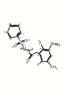 CCOc1cc(C)c(F)c(C(=O)NNS(=O)(=O)c2ccccc2)c1F